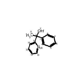 CC(O)(c1ccccc1)c1ccccn1